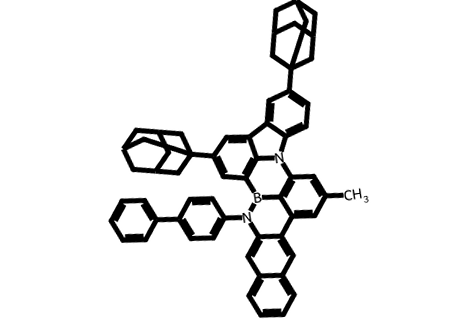 Cc1cc2c3c(c1)-n1c4ccc(C56CC7CC(CC(C7)C5)C6)cc4c4cc(C56CC7CC(CC(C7)C5)C6)cc(c41)B3N(c1ccc(-c3ccccc3)cc1)c1cc3ccccc3cc1-2